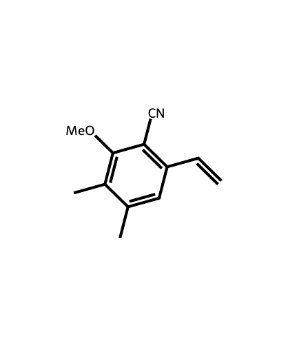 C=Cc1cc(C)c(C)c(OC)c1C#N